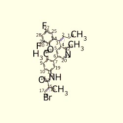 CC/C=C(\c1cc(-c2cccc(NC(=O)/C(C)=C/Br)c2)cnc1C)c1cc(F)cc(F)c1OC